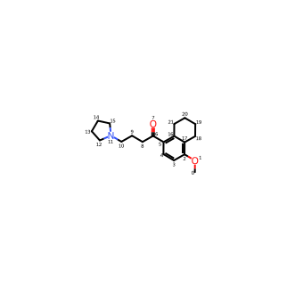 COc1ccc(C(=O)CCCN2CCCC2)c2c1CCCC2